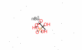 CCCCOC(=O)C(C)(O)P(=O)(O)O